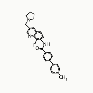 Cc1ccc(-c2ccc(C(=O)Nc3ccc4cc(CN5CCCC5)cnc4c3F)cc2)cc1